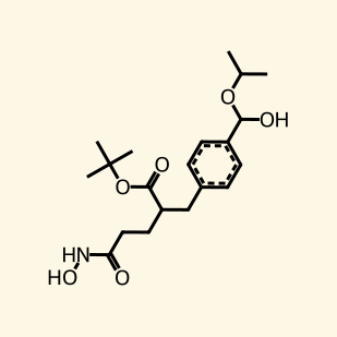 CC(C)OC(O)c1ccc(CC(CCC(=O)NO)C(=O)OC(C)(C)C)cc1